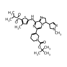 Cc1cc(NC2=NC(C3=CCCN(C(=O)OC(C)(C)C)C3)=CN3C2=NCC3C2C=NN(C)C2)sc1S(=O)(=O)C(C)C